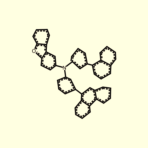 c1cc(-c2cccc3ccccc23)cc(N(c2cccc(-c3cc4ccccc4c4ccccc34)c2)c2ccc3oc4ccccc4c3c2)c1